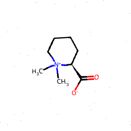 C[N+]1(C)CCCC[C@H]1C(=O)[O-]